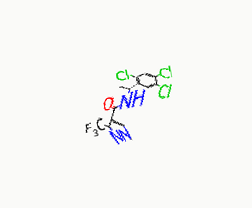 CC(NC(=O)c1cn(C)nc1C(F)(F)F)c1cc(Cl)c(Cl)cc1Cl